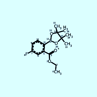 CCOC(=O)c1cc(F)ccc1B1OC(C)(C)C(C)(C)O1